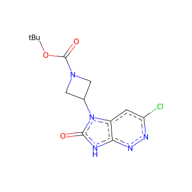 CC(C)(C)OC(=O)N1CC(n2c(=O)[nH]c3nnc(Cl)cc32)C1